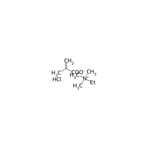 C=C(C)C(=O)[O-].CC[N+](C)(C)C.Cl